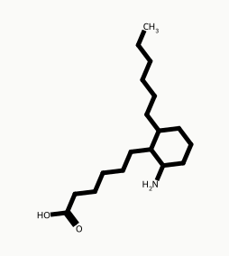 CCCCCCC1CCCC(N)C1CCCCCC(=O)O